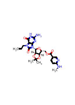 C=CCn1c(=O)n([C@@H]2O[C@H](COC(=O)c3ccc(NC)nc3)[C@H]3OC(C)(C)O[C@H]32)c2nc(N)[nH]c(=O)c21